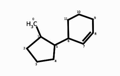 CC1CCCC1C1C=CCCC1